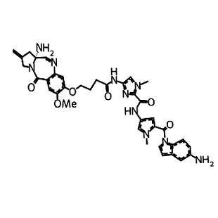 C=C1CN2C(=O)c3cc(OC)c(OCCCC(=O)Nc4cn(C)c(C(=O)Nc5cc(C(=O)n6ccc7cc(N)ccc76)n(C)c5)n4)cc3N=C[C@]2(N)C1